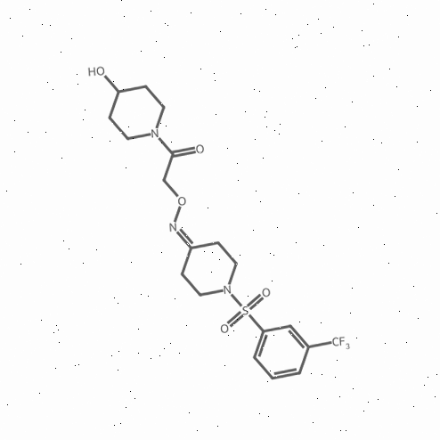 O=C(CON=C1CCN(S(=O)(=O)c2cccc(C(F)(F)F)c2)CC1)N1CCC(O)CC1